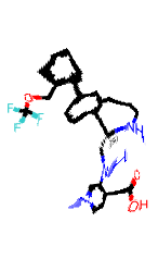 O=C(O)c1ccncc1NC[C@H]1NCCc2cc(-c3ccccc3COC(F)(F)F)ccc21